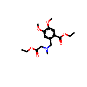 CCOC(=O)CN(C)Cc1cc(OC)c(OC)cc1C(=O)OCC